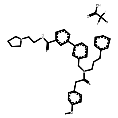 COc1ccc(CC(=O)N(CCCc2ccccc2)Cc2cccc(-c3cccc(C(=O)NCCN4CCCC4)c3)c2)cc1.O=C(O)C(F)(F)F